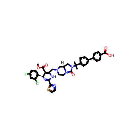 COC(=O)C1=C(CN2CCN3C(=O)N(C(C)(C)c4ccc(-c5ccc(C(=O)O)cc5)cc4)C[C@@H]3C2)NC(c2nccs2)=N[C@H]1c1ccc(F)cc1Cl